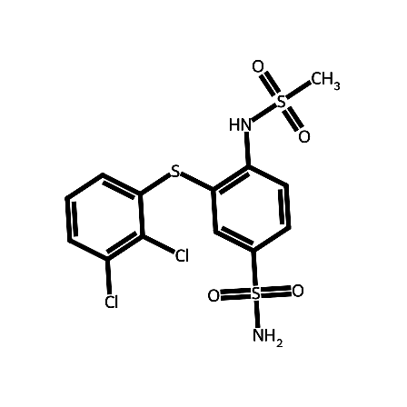 CS(=O)(=O)Nc1ccc(S(N)(=O)=O)cc1Sc1cccc(Cl)c1Cl